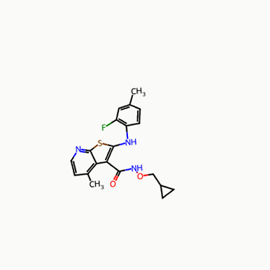 Cc1ccc(Nc2sc3nccc(C)c3c2C(=O)NOCC2CC2)c(F)c1